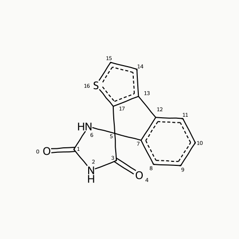 O=C1NC(=O)C2(N1)c1ccccc1-c1ccsc12